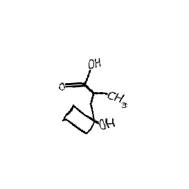 CC(C(=O)O)C1(O)CCC1